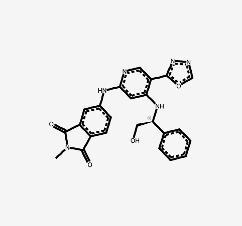 CN1C(=O)c2ccc(Nc3cc(N[C@H](CO)c4ccccc4)c(-c4nnco4)cn3)cc2C1=O